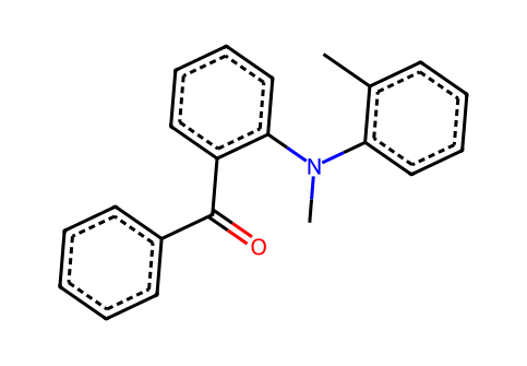 Cc1ccccc1N(C)c1ccccc1C(=O)c1ccccc1